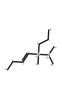 CCC=C[Si](C)(CCC)N(C)C